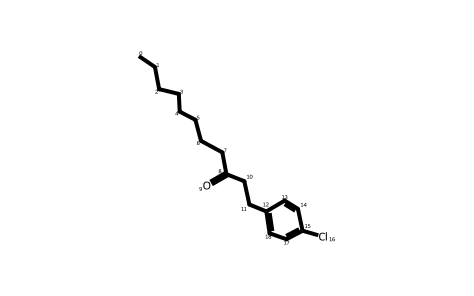 CCCCCCCCC(=O)CCc1ccc(Cl)cc1